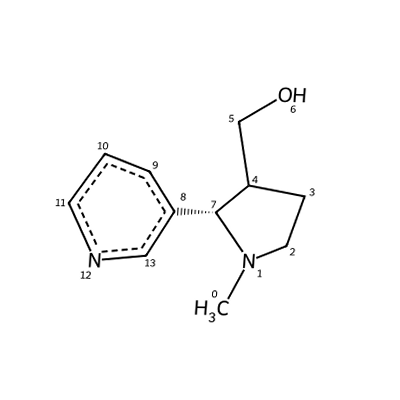 CN1CCC(CO)[C@H]1c1cccnc1